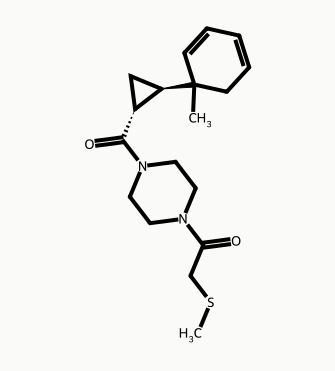 CSCC(=O)N1CCN(C(=O)[C@@H]2C[C@H]2C2(C)C=CC=CC2)CC1